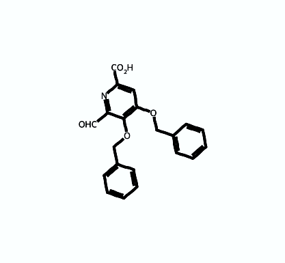 O=Cc1nc(C(=O)O)cc(OCc2ccccc2)c1OCc1ccccc1